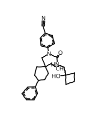 CCC1(CN(C(=O)NCC2(O)CCC2)c2ccc(C#N)cc2)CCC(c2ccccc2)CC1